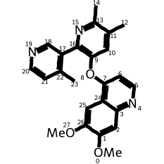 COc1cc2nccc(Oc3cc(C)c(C)nc3-c3cnccc3C)c2cc1OC